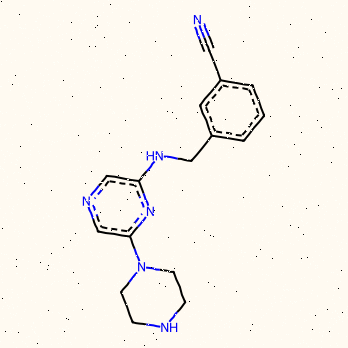 N#Cc1cccc(CNc2cncc(N3CCNCC3)n2)c1